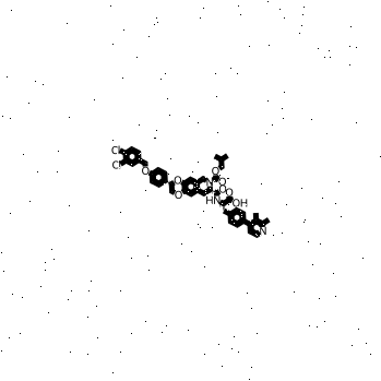 Cc1nccc(-c2ccc(C[C@H](NC(=O)[C@@H]3Cc4cc5c(cc4CN3C(=O)OCC(C)C)O[C@@H](c3ccc(OCc4ccc(Cl)c(Cl)c4)cc3)CO5)C(=O)O)cc2)c1C